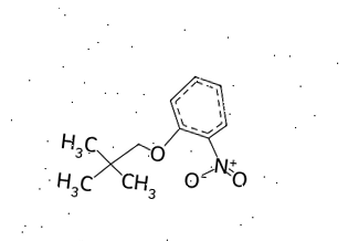 CC(C)(C)COc1ccccc1[N+](=O)[O-]